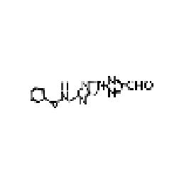 O=Cc1cnc(N2CCn3cc(CNC4CC4c4ccccc4)nc3C2)nc1